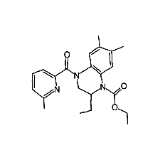 CCOC(=O)N1c2cc(C)c(C)cc2N(C(=O)c2cccc(C)n2)CC1CC